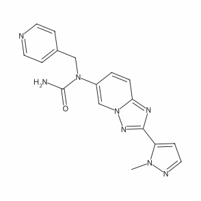 Cn1nccc1-c1nc2ccc(N(Cc3ccncc3)C(N)=O)cn2n1